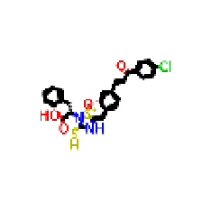 O=C(/C=C/c1ccc(/C=C2/N[C@H](S)N([C@@H](Cc3ccccc3)C(=O)O)[S+]2[O-])cc1)c1ccc(Cl)cc1